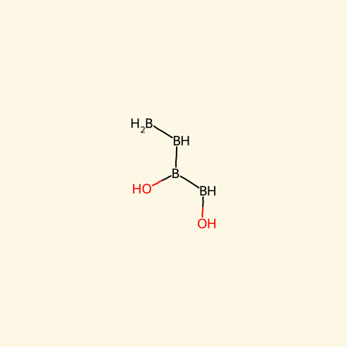 BBB(O)BO